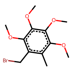 COc1c(C)c(CBr)c(OC)c(OC)c1OC